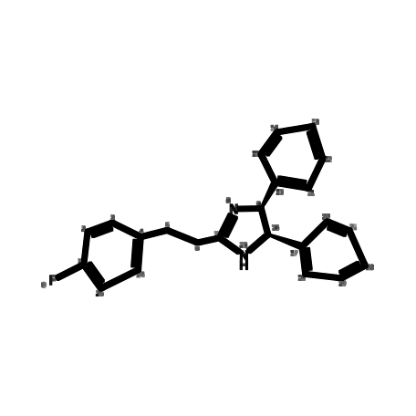 Fc1ccc(CCC2=N[C@@H](c3ccccc3)[C@@H](c3ccccc3)N2)cc1